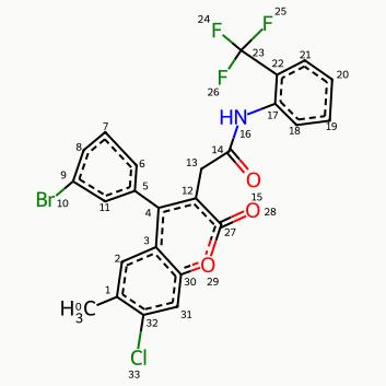 Cc1cc2c(-c3cccc(Br)c3)c(CC(=O)Nc3ccccc3C(F)(F)F)c(=O)oc2cc1Cl